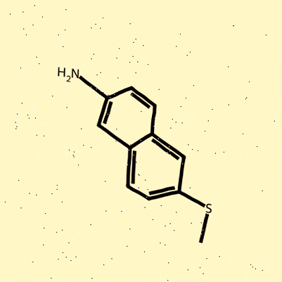 CSc1ccc2cc(N)ccc2c1